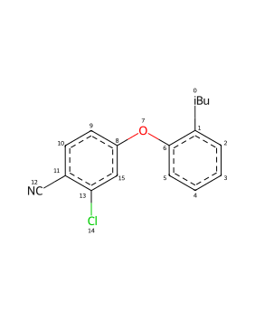 CCC(C)c1ccccc1Oc1ccc(C#N)c(Cl)c1